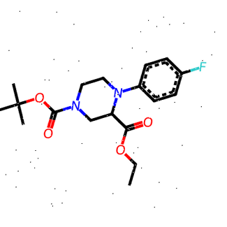 CCOC(=O)C1CN(C(=O)OC(C)(C)C)CCN1c1ccc(F)cc1